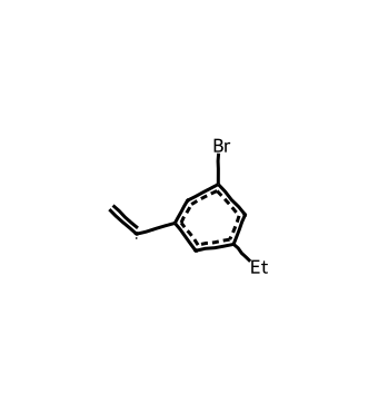 C=[C]c1cc(Br)cc(CC)c1